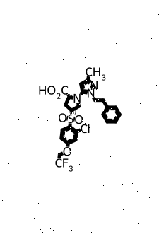 Cc1cc(N2C[C@H](S(=O)(=O)c3ccc(OCC(F)(F)F)cc3Cl)C[C@H]2C(=O)O)n(CCc2ccccc2)n1